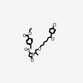 CCOC(=O)c1ccc(C[S+]([O-])C2CC(=O)N2C(C)COCCCCCC(=O)c2ccc(Cl)cc2)cc1